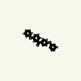 O=C(c1ccc(Oc2ccccc2)cc1)c1cccc(Oc2ccccc2)c1